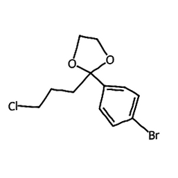 ClCCCC1(c2ccc(Br)cc2)OCCO1